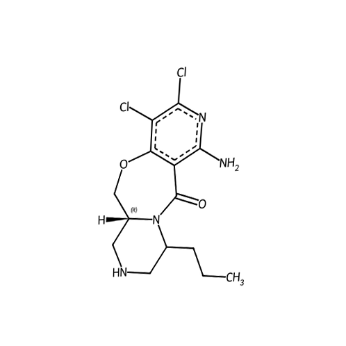 CCCC1CNC[C@@H]2COc3c(Cl)c(Cl)nc(N)c3C(=O)N12